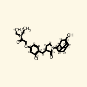 CCN(CC)C(=O)COc1ccc(CC2CCN(C3C4CC5CC3CC(O)(C5)C4)C2=O)c(Cl)c1